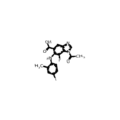 CC(=O)n1cnc2cc(C(=O)O)c(Nc3ccc(I)cc3C)c(F)c21